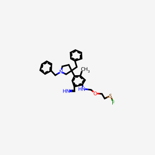 Cc1cc(NCOCCSF)c(C=N)cc1C1(Cc2ccccc2)CCN(Cc2ccccc2)C1